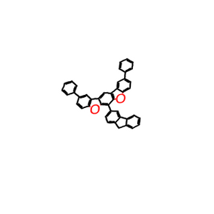 c1ccc(-c2ccc3oc4c(-c5ccc6c(c5)-c5ccccc5C6)c5oc6ccc(-c7ccccc7)cc6c5cc4c3c2)cc1